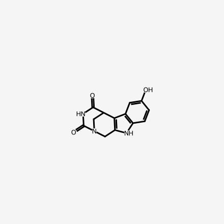 O=C1NC(=O)N2Cc3[nH]c4ccc(O)cc4c3C1C2